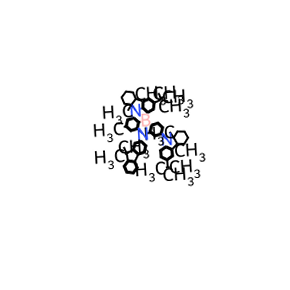 Cc1cc2c3c(c1)N1c4c(cc(C(C)(C)C)cc4C4(C)CCCCC14C)B3c1ccc(N3c4ccc(C(C)(C)C)cc4C4(C)CCCCC34C)cc1N2c1ccc2c(c1)C(C)(C)c1ccccc1-2